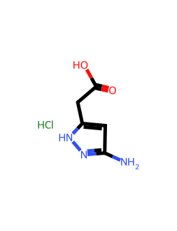 Cl.Nc1cc(CC(=O)O)[nH]n1